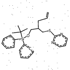 C=CCC(CO[Si](c1ccccc1)(c1ccccc1)C(C)(C)C)CSc1ncccn1